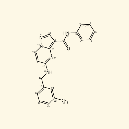 O=C(Nc1ccccc1)c1cnn2ccc(NCc3cccc(C(F)(F)F)c3)nc12